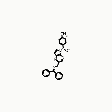 Cc1ccc([S+]([O-])n2ccc3nc(CN=C(c4ccccc4)c4ccccc4)cnc32)cc1